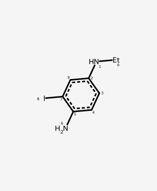 CCNc1ccc(N)c(I)c1